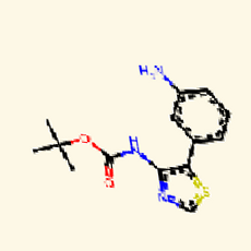 CC(C)(C)OC(=O)Nc1ncsc1-c1cccc(N)c1